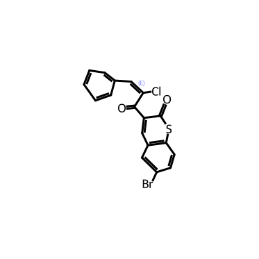 O=C(/C(Cl)=C\c1ccccc1)c1cc2cc(Br)ccc2sc1=O